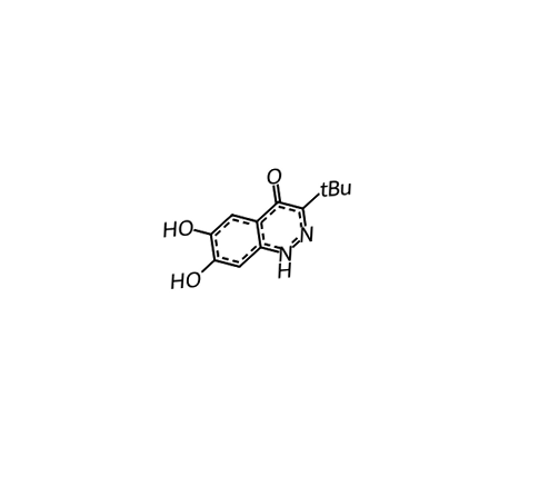 CC(C)(C)c1n[nH]c2cc(O)c(O)cc2c1=O